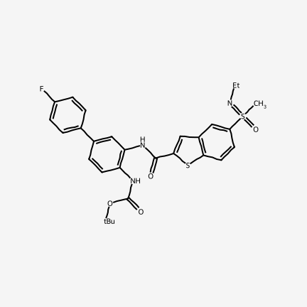 CCN=S(C)(=O)c1ccc2sc(C(=O)Nc3cc(-c4ccc(F)cc4)ccc3NC(=O)OC(C)(C)C)cc2c1